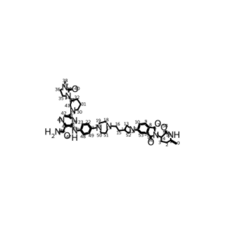 C=C1CCC(N2C(=O)c3ccc(N4CC(CCN5CCN(c6ccc(Nc7nc(N8CCC[C@@H](N9CCN(C)C9=O)C8)cnc7C(N)=O)cc6)CC5)C4)cc3C2=O)C(=O)N1